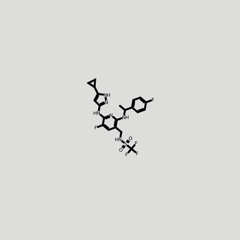 CC(Nc1nc(Nc2cc(C3CC3)[nH]n2)c(F)cc1CNS(=O)(=O)C(F)(F)F)c1ccc(F)cc1